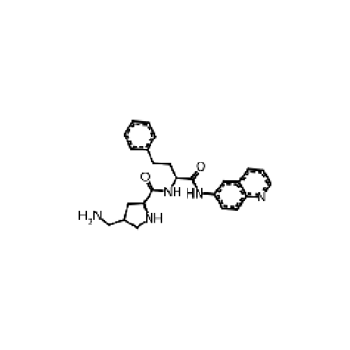 NCC1CNC(C(=O)NC(CCc2ccccc2)C(=O)Nc2ccc3ncccc3c2)C1